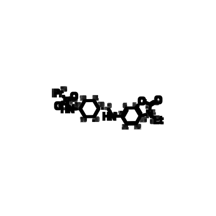 CCn1c(=O)oc2cc(NC[C@H]3CC[C@H](NS(=O)(=O)C(C)C)CC3)ccc21